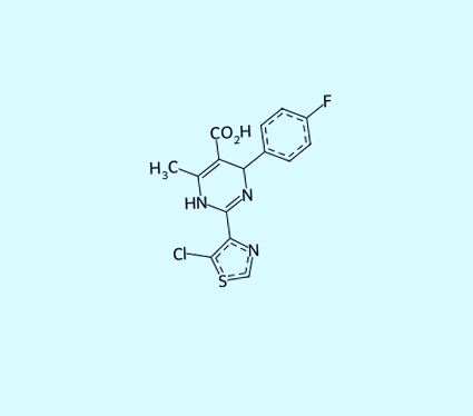 CC1=C(C(=O)O)C(c2ccc(F)cc2)N=C(c2ncsc2Cl)N1